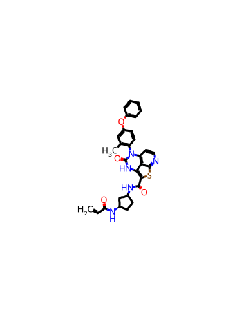 C=CC(=O)N[C@@H]1CCC(NC(=O)c2sc3nccc4c3c2NC(=O)N4c2ccc(Oc3ccccc3)cc2C)C1